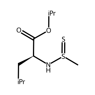 CC(C)C[C@H](NS(C)=S)C(=O)OC(C)C